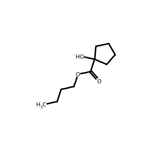 CCCCOC(=O)C1(O)CCCC1